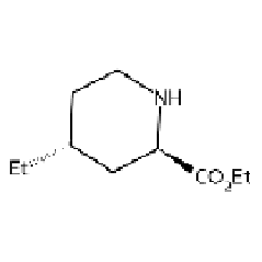 CCOC(=O)[C@H]1C[C@H](CC)CCN1